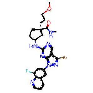 CNC(=O)[C@]1(CCCOC)CC[C@@H](Nc2ncc3c(Br)nn(-c4cc(F)c5ncccc5c4)c3n2)C1